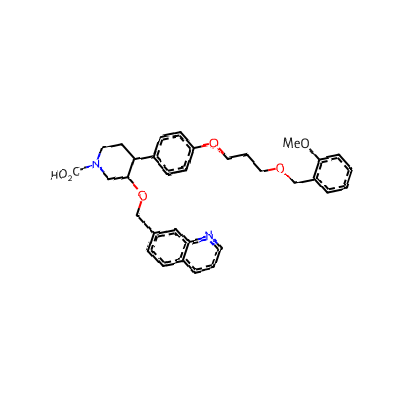 COc1ccccc1COCCCOc1ccc(C2CCN(C(=O)O)CC2OCc2ccc3cccnc3c2)cc1